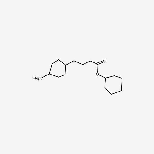 CCCCCCCC1CCC(CCCC(=O)OC2CCCCC2)CC1